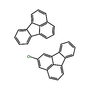 Clc1cc2c3c(cccc3c1)-c1ccccc1-2.c1ccc2c(c1)-c1cccc3cccc-2c13